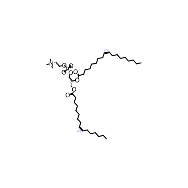 CCCCCC/C=C\CCCCCCCC(=O)OC[C@H](COP(=O)([O-])OCC[N+](C)(C)C)OC(=O)CCCCCCC/C=C\CCCCCCCC